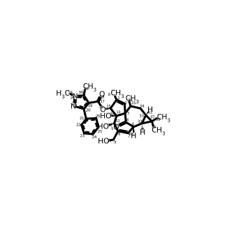 CC1=CC23C(=O)[C@@H](C=C(CO)[C@@H](O)[C@]2(O)[C@H]1OC(=O)c1c(-c2ccccc2)nn(C)c1C)[C@H]1[C@@H](CC3C)C1(C)C